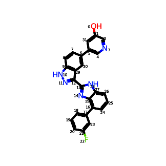 Oc1cncc(-c2ccc3[nH]nc(-c4nc5c(-c6cccc(F)c6)cccc5[nH]4)c3c2)c1